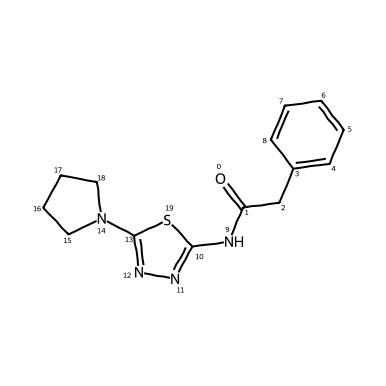 O=C(Cc1ccccc1)Nc1nnc(N2CCCC2)s1